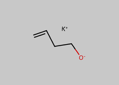 C=CCC[O-].[K+]